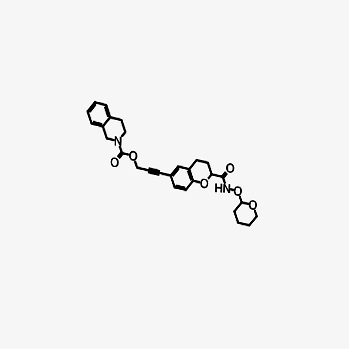 O=C(NOC1CCCCO1)C1CCc2cc(C#CCOC(=O)N3CCc4ccccc4C3)ccc2O1